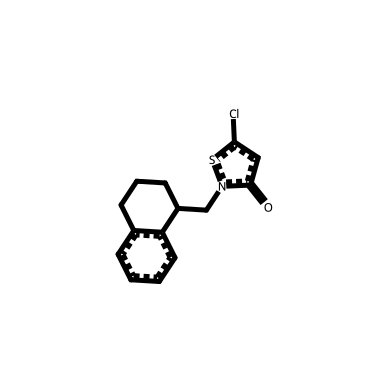 O=c1cc(Cl)sn1CC1CCCc2ccccc21